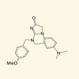 COc1ccc(CN2Cc3cc(N(C)C)ccc3N3CC(=O)N=C23)cc1